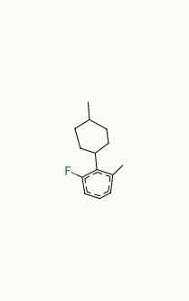 Cc1cccc(F)c1C1CCC(C)CC1